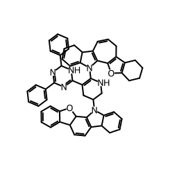 C1=CCC2C(=C1)N(C1=C(C3=NC(c4ccccc4)=NC(c4ccccc4)N3)CC(N3C4=CC=CCC4C4=C3C3Oc5ccccc5C3C=C4)CN1)C1=C2C=CCc2c1oc1c2CCCC1